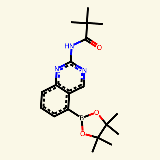 CC(C)(C)C(=O)Nc1ncc2c(B3OC(C)(C)C(C)(C)O3)cccc2n1